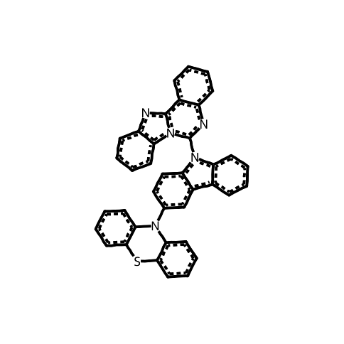 c1ccc2c(c1)Sc1ccccc1N2c1ccc2c(c1)c1ccccc1n2-c1nc2ccccc2c2nc3ccccc3n12